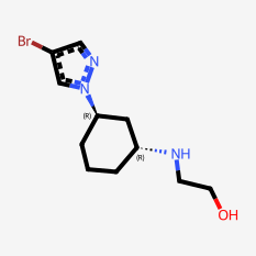 OCCN[C@@H]1CCC[C@@H](n2cc(Br)cn2)C1